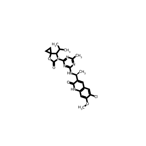 COc1cc2[nH]c(=O)c([C@H](C)Nc3nc(C)nc(N4C(=O)OC5(CC5)C4C(C)C)n3)cc2cc1Cl